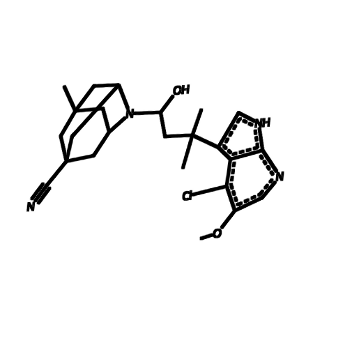 COc1cnc2[nH]cc(C(C)(C)CC(O)N3C4CC5(C)CC3CC(C#N)(C4)C5)c2c1Cl